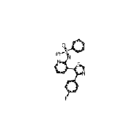 CC(C)S(=O)(=Nc1ncccc1-c1scnc1-c1ccc(F)cc1)c1ccccc1